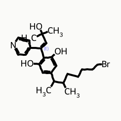 CC(CCCCCBr)C(C)c1cc(O)c(/C(=C/C(C)(C)O)c2ccncc2)c(O)c1